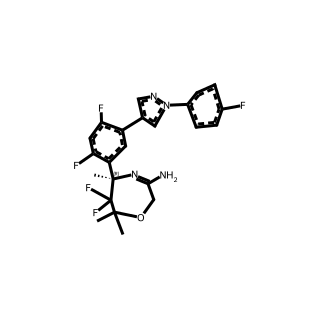 CC1(C)OCC(N)=N[C@](C)(c2cc(-c3cnn(-c4ccc(F)cc4)c3)c(F)cc2F)C1(F)F